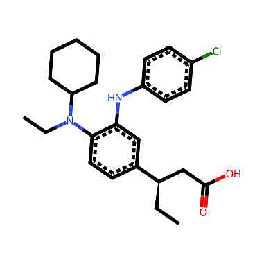 CC[C@H](CC(=O)O)c1ccc(N(CC)C2CCCCC2)c(Nc2ccc(Cl)cc2)c1